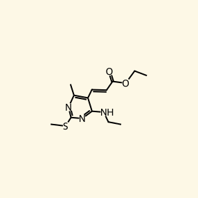 CCNc1nc(SC)nc(C)c1/C=C/C(=O)OCC